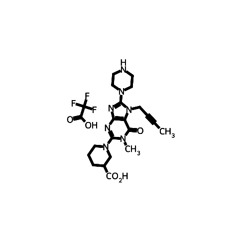 CC#CCn1c(N2CCNCC2)nc2nc(N3CCCC(C(=O)O)C3)n(C)c(=O)c21.O=C(O)C(F)(F)F